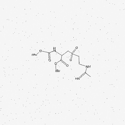 CCCCOC(=O)NC(CS(=O)(=O)CCNC(C)=N)C(=O)OC(C)(C)C